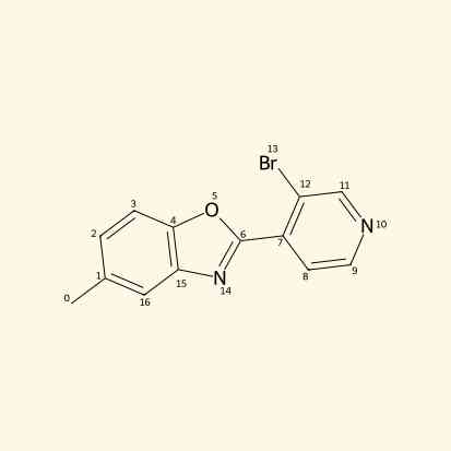 Cc1ccc2oc(-c3ccncc3Br)nc2c1